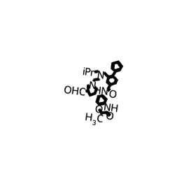 CC(C)CN(CCN1CCCC(C=O)C1)Cc1cc(C(=O)Nc2ccc3c(c2)NC(=O)C(C)O3)ccc1-c1ccccc1